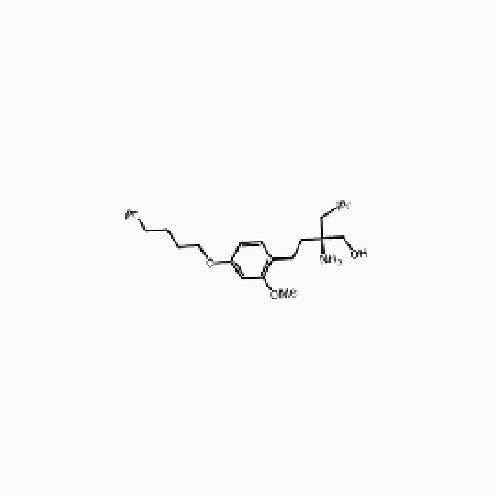 COc1cc(OCCCCC(C)C)ccc1CC[C@@](N)(CO)CC(C)C